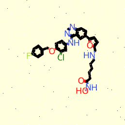 O=C(CCCCCNCc1ccc(-c2ccc3ncnc(Nc4ccc(OCc5ccc(F)cc5)c(Cl)c4)c3c2)o1)NO